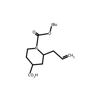 C=CCC1CC(C(=O)O)CCN1C(=O)OC(C)(C)C